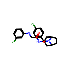 O=C(CNc1cccc(Cl)c1)NC1CC2CCC(C1)N2Cc1ccc(Cl)cc1